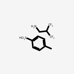 Cc1ccc(S(=O)(=O)O)cc1.NCC(C(F)(F)F)C(F)(F)F